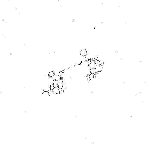 CN[C@@H](C)C(=S)N[C@H]1CCS[C@H]2CC(C)(C)[C@@H](C(=O)N[C@H](COCCCCCCOC[C@@H](NC(=O)[C@H]3N4C(=O)[C@@H](NC(=S)C(C)C)CCS[C@H]4CC3(C)C)c3ccccc3)c3ccccc3)N2C1=O